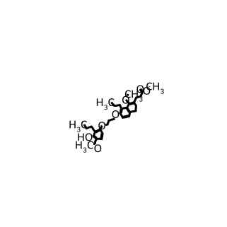 CCCc1c(OCCCOc2ccc3c(c2CCC)C(OC)=C(CCC(=O)OC)CC3)ccc(C(C)=O)c1O